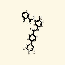 Cc1ccccc1C(=O)Nc1cc(NC(=O)c2ccc(N3C[C@@H](C)N[C@@H](C)C3)nc2)ccc1Cl